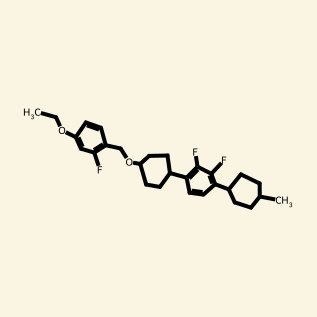 CCOc1ccc(COC2CCC(c3ccc(C4CCC(C)CC4)c(F)c3F)CC2)c(F)c1